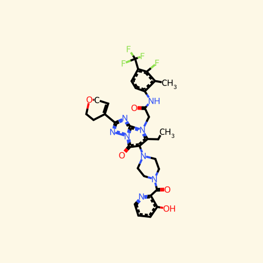 CCc1c(N2CCN(C(=O)c3ncccc3O)CC2)c(=O)n2nc(C3=CCOCC3)nc2n1CC(=O)Nc1ccc(C(F)(F)F)c(F)c1C